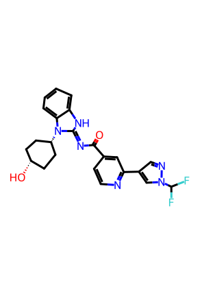 O=C(/N=c1\[nH]c2ccccc2n1[C@H]1CC[C@@H](O)CC1)c1ccnc(-c2cnn(C(F)F)c2)c1